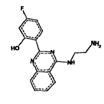 NCCNc1nc(-c2ccc(F)cc2O)nc2ccccc12